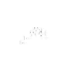 [Cd+2].[Mg+2].[Mn+2].[Te-2].[Te-2].[Te-2]